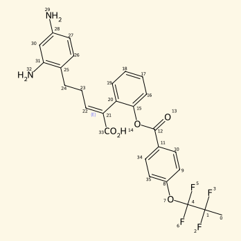 CC(F)(F)C(F)(F)Oc1ccc(C(=O)Oc2ccccc2/C(=C\CCc2ccc(N)cc2N)C(=O)O)cc1